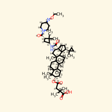 CCON=C1CCN(C(=O)[C@H]2C[C@@H](NC(=O)[C@]34CC[C@@H](C5(C)CC5)[C@@H]3[C@H]3CC[C@@H]5[C@@]6(C)CC[C@H](OC(=O)CC(C)(C)C(=O)O)C(C)(C)[C@@H]6CC[C@@]5(C)[C@]3(C)CC4)C2(C)C)CC1